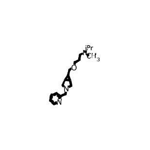 CC(C)N(C)CCCOCC1C2CN(Cc3ccccn3)CC12